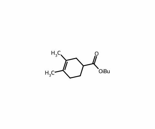 CC1=C(C)CC(C(=O)OCC(C)C)CC1